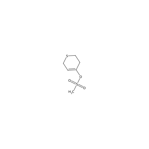 CS(=O)(=O)OC1=CCSCC1